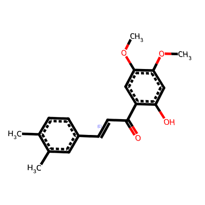 COc1cc(O)c(C(=O)/C=C/c2ccc(C)c(C)c2)cc1OC